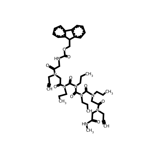 C#CCN(CC(=O)NC)C(=O)CN(CCC)C(=O)N(CCC)C(=O)N(CCC)C(=O)N(CCC)C(=O)CN(CC#C)C(=O)CNC(=O)OCC1c2ccccc2-c2ccccc21